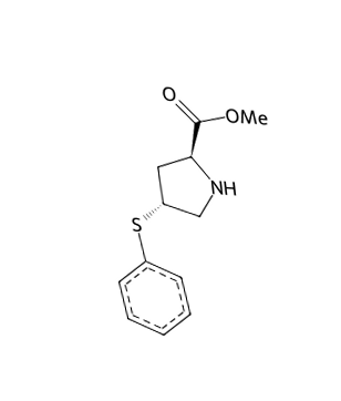 COC(=O)[C@@H]1C[C@@H](Sc2ccccc2)CN1